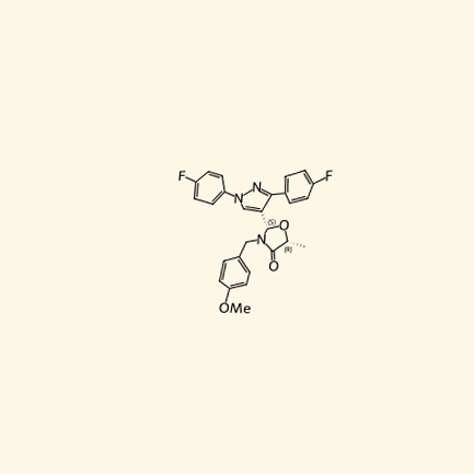 COc1ccc(CN2C(=O)[C@@H](C)O[C@H]2c2cn(-c3ccc(F)cc3)nc2-c2ccc(F)cc2)cc1